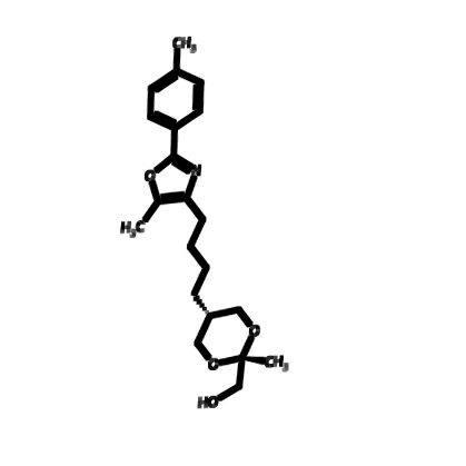 Cc1ccc(-c2nc(CCCC[C@H]3CO[C@@](C)(CO)OC3)c(C)o2)cc1